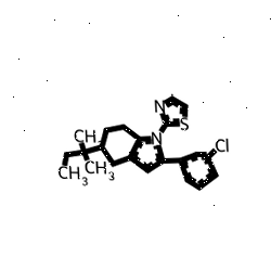 CCC(C)(C)C1CCc2c(cc(-c3cccc(Cl)c3)n2-c2n[c]cs2)C1